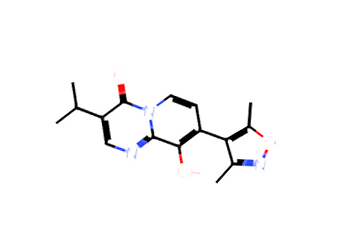 Cc1noc(C)c1-c1ccn2c(=O)c(C(C)C)cnc2c1O